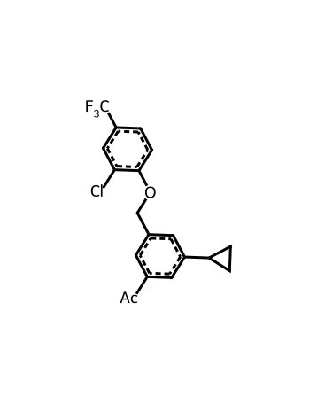 CC(=O)c1cc(COc2ccc(C(F)(F)F)cc2Cl)cc(C2CC2)c1